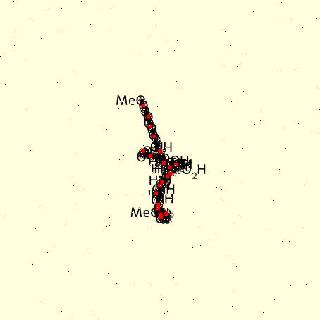 CCN(CC)CC.COCCOCCOCCOCCOCCOCCOCCOCCC(=O)NCCCC[C@H](NC(=O)CCCCCN1C(=O)C=CC1=O)C(=O)NCCC(=O)Nc1cc(COC(=O)Nc2ccc(NC(=O)c3cc(NC(=O)CCCOc4cc5c(cc4OC)C(=O)N4CCCC[C@H]4C=N5)cn3C)cc2)ccc1O[C@@H]1O[C@H](C(=O)O)[C@@H](O)[C@H](O)[C@H]1O